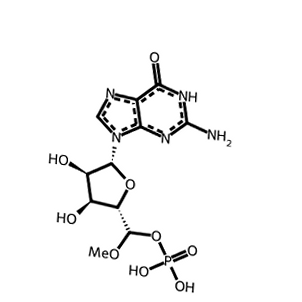 COC(OP(=O)(O)O)[C@H]1O[C@@H](n2cnc3c(=O)[nH]c(N)nc32)[C@H](O)[C@@H]1O